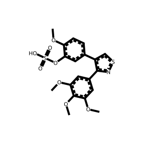 COc1ccc(-c2csnc2-c2cc(OC)c(OC)c(OC)c2)cc1OS(=O)(=O)O